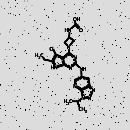 CCc1[nH]c2nc(Nc3cnc4c(c3)nnn4C(C)C)nc(N3CC(NC(=O)O)C3)c2c1Cl